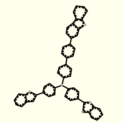 c1ccc2sc(-c3ccc(N(c4ccc(-c5ccc(-c6ccc7c(c6)oc6ccccc67)cc5)cc4)c4ccc(-c5nc6ccccc6o5)cc4)cc3)cc2c1